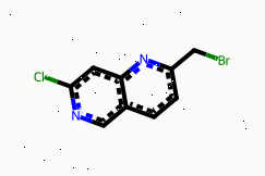 Clc1cc2nc(CBr)ccc2cn1